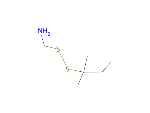 CCC(C)(C)SSCN